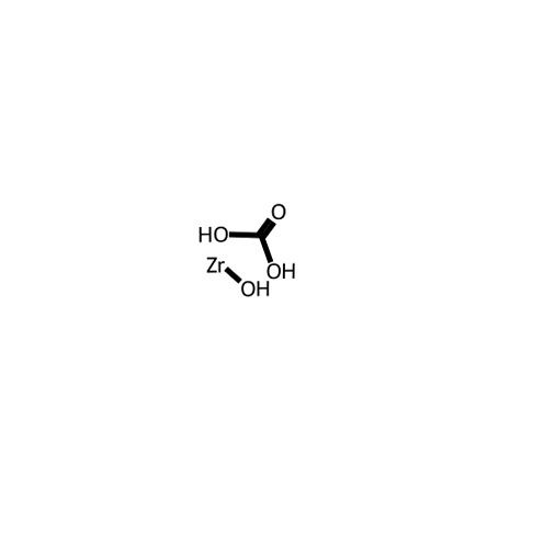 O=C(O)O.[OH][Zr]